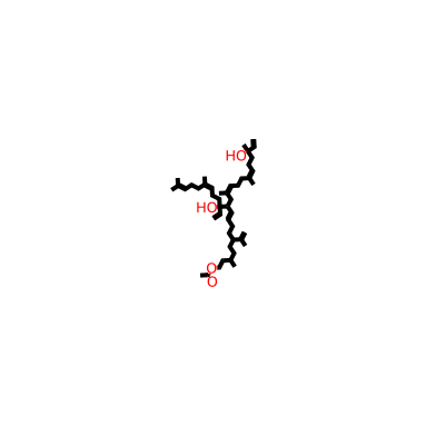 C=CC(C)(O)CCC=C(C)CCC=C(C)CC(C=CCCC(CCC(C)CCOC(C)=O)C(=C)C)C(O)(C=C)CCC=C(C)CCC=C(C)C